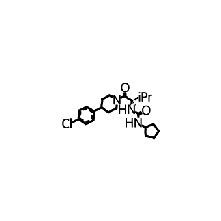 CC(C)[C@@H](NC(=O)NC1CCCC1)C(=O)N1CCC(c2ccc(Cl)cc2)CC1